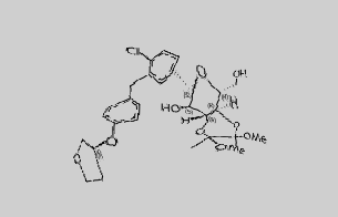 COC1(C)O[C@@H]2[C@@H](O)[C@H](c3ccc(Cl)c(Cc4ccc(O[C@H]5CCOC5)cc4)c3)O[C@H](CO)[C@H]2OC1(C)OC